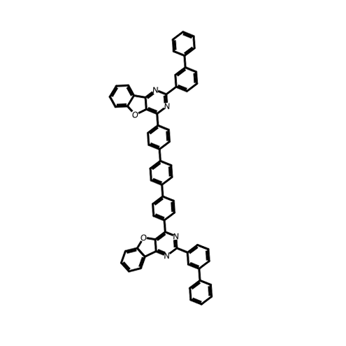 c1ccc(-c2cccc(-c3nc(-c4ccc(-c5ccc(-c6ccc(-c7nc(-c8cccc(-c9ccccc9)c8)nc8c7oc7ccccc78)cc6)cc5)cc4)c4oc5ccccc5c4n3)c2)cc1